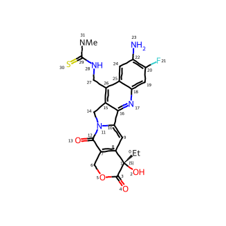 CC[C@@]1(O)C(=O)OCc2c1cc1n(c2=O)Cc2c-1nc1cc(F)c(N)cc1c2CNC(=S)NC